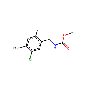 CC(C)(C)OC(=O)NCc1cc(Cl)c(C(=O)O)cc1I